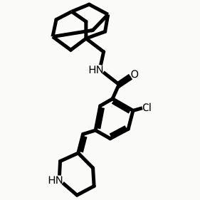 O=C(NCC12CC3CC(CC(C3)C1)C2)c1cc(/C=C2\CCCNC2)ccc1Cl